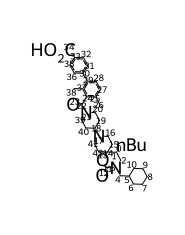 CCCCC1CN(CC2CCCCC2)C(=O)OC12CCN(C1CCN(C(=O)c3c(C)ccc(-c4ccc(C(=O)O)cc4)c3C)CC1)CC2